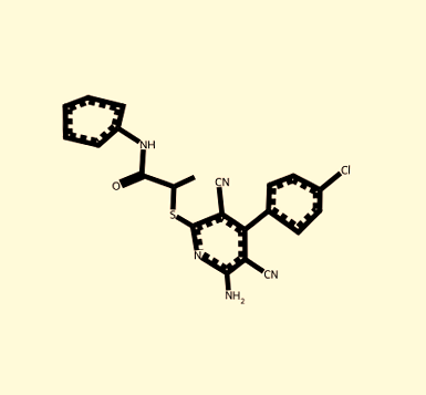 CC(Sc1nc(N)c(C#N)c(-c2ccc(Cl)cc2)c1C#N)C(=O)Nc1ccccc1